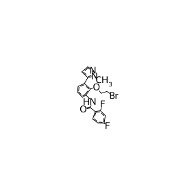 Cn1nccc1-c1cccc(NC(=O)c2ccc(F)cc2F)c1OCCBr